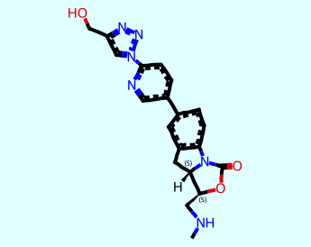 CNC[C@@H]1OC(=O)N2c3ccc(-c4ccc(-n5cc(CO)nn5)nc4)cc3C[C@@H]12